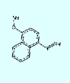 N=Nc1ccc(OS)c2ccccc12